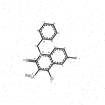 CCOC(=O)c1c(Cl)c2cc(F)ccc2n(Cc2ccccc2)c1=O